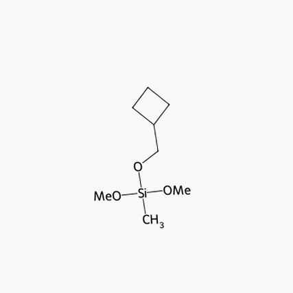 CO[Si](C)(OC)OCC1CCC1